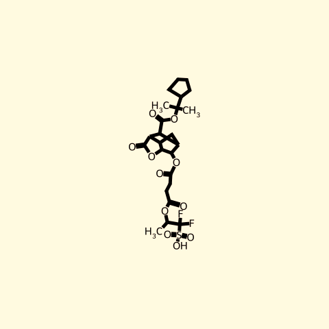 CC(OC(=O)CCC(=O)OC1C2CC3C1OC(=O)C3C2C(=O)OC(C)(C)C1CCCC1)C(F)(F)S(=O)(=O)O